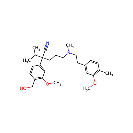 COc1cc(CCN(C)CCCC(C#N)(c2ccc(CO)c(OC)c2)C(C)C)ccc1C